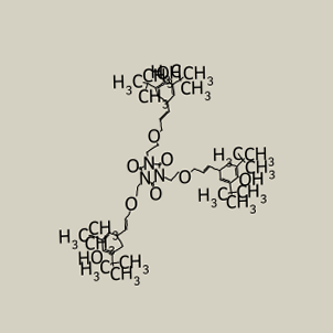 CC(C)(C)C1=CC(C=CCOCCn2c(=O)n(CCOCC=CC3C=C(C(C)(C)C)C(O)=C(C(C)(C)C)C3)c(=O)n(CCOCC=CC3C=C(C(C)(C)C)C(O)=C(C(C)(C)C)C3)c2=O)CC(C(C)(C)C)=C1O